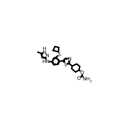 Cc1cc(Nc2ccc(-c3cnc(C4CCC(OC(N)=O)CC4)s3)c(SC3CCC3)c2)n[nH]1